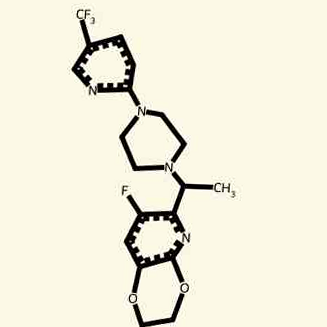 CC(c1nc2c(cc1F)OCCO2)N1CCN(c2ccc(C(F)(F)F)cn2)CC1